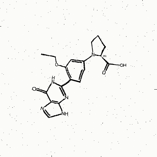 CCOc1cc(N2CCC[C@H]2C(=O)O)ccc1-c1nc2[nH]cnc2c(=O)[nH]1